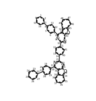 c1ccc(-c2ccc(-c3nc(-c4ccc(-c5nc(-c6ccc(-c7ccccc7)cc6)c6c(n5)oc5ccccc56)cc4)nc4oc5ccccc5c34)cc2)cc1